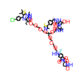 CC[C@@H](C(=O)OCCOCCOCCOCC(C)(COCCOCCOCCNc1cc2c(cc1F)C(=O)N(C1CCC(=O)NC1=O)C2=O)COCC(=O)N[C@H](C(=O)N1C[C@H](O)C[C@H]1C(=O)N[C@@H](C)c1ccc(-c2scnc2C)cc1)C(C)(C)C)[C@@H]1N=C(c2ccc(Cl)cc2)c2c(sc(C)c2C)-n2c(C)nnc21